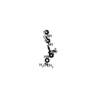 CN(C)C1CCC(Nc2cccc3c2cc(C#CCNc2ccc(C(=O)Nc4cccnc4)nc2)n3CC(F)(F)F)CC1